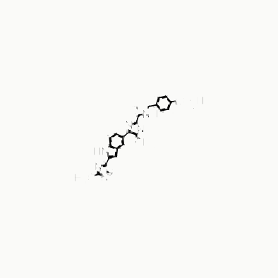 Cc1noc(-c2cc3cc(-c4nc(C(=O)NCc5ccc(C(=O)O)cc5)[nH]c4C)ccc3[nH]2)n1